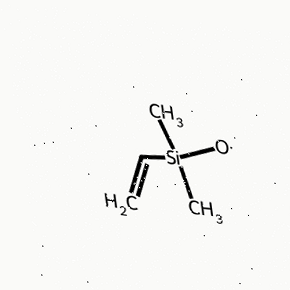 C=C[Si](C)(C)[O]